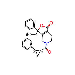 CC(C)CC1(c2ccccc2)OC(=O)C2=C1CN(C(=O)[C@@H]1C[C@H]1c1ccccc1)CC2